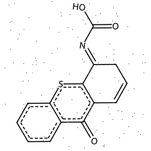 O=C(O)N=C1CC=Cc2c1sc1ccccc1c2=O